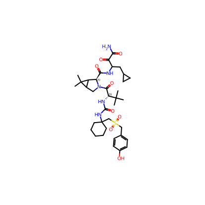 CC1(C)C2CN(C(=O)[C@@H](NC(=O)NC3(CS(=O)(=O)Cc4ccc(O)cc4)CCCCC3)C(C)(C)C)[C@H](C(=O)NC(CC3CC3)C(=O)C(N)=O)C21